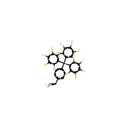 C=Cc1ccc(C(c2c(F)c(F)c(F)c(F)c2F)(c2c(F)c(F)c(F)c(F)c2F)c2c(F)c(F)c(F)c(F)c2F)cc1